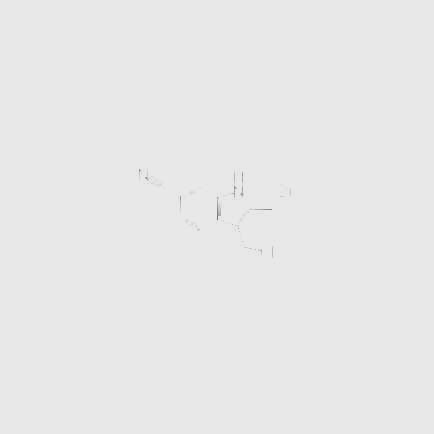 CCc1c(CBr)[nH]c2cc(C#N)ccc12